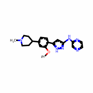 CC(C)Oc1cc(C2CCN(C)CC2)ccc1-c1cc(Nc2cnccn2)n[nH]1